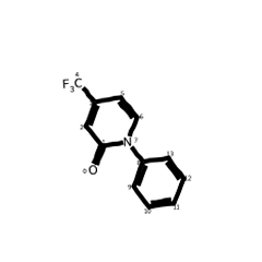 O=c1cc(C(F)(F)F)ccn1-c1ccccc1